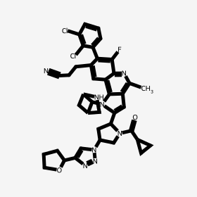 Cc1nc2c(F)c(-c3cccc(Cl)c3Cl)c(CCC#N)cc2c2c1cc(C1CC(n3cc(C4CCCO4)nn3)CN1C(=O)C1CC1)n2C1C2CNC1C2